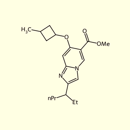 CCCC(CC)c1cn2cc(C(=O)OC)c(OC3CC(C)C3)cc2n1